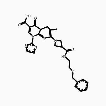 O=C(O)C1=CN(c2nccs2)C2=NC(N3CC(C(=O)NCCOCc4ccccc4)C3)=C(F)CC2C1=O